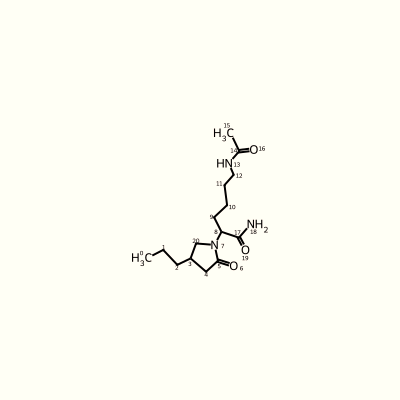 CCCC1CC(=O)N(C(CCCCNC(C)=O)C(N)=O)C1